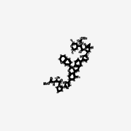 COC(=O)NC(C(=O)N1[C@@H]2C[C@@H]2C[C@H]1c1ncc(-c2ccc3c(c2)cc2n3C(c3ccc4c(c3)OCCC4)Oc3cc(-c4cnc([C@@H]5CCCN5C(=O)[C@@H](NC(=O)OC)C(C)C)[nH]4)cc(F)c3-2)[nH]1)C1C[C@@H](C)O[C@@H](C)C1